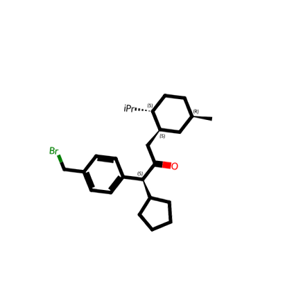 CC(C)[C@@H]1CC[C@@H](C)C[C@H]1CC(=O)[C@H](c1ccc(CBr)cc1)C1CCCC1